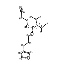 CC(C)N(C(C)C)[P@@](OCCC#N)OCCCc1ccoc1